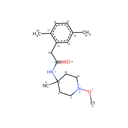 CCON1CCC(C#N)(NC(=O)Cc2cc(C)ccc2C)CC1